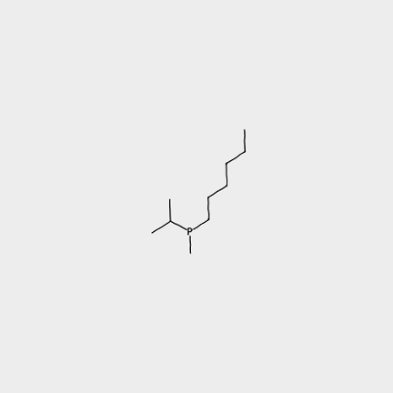 CCCCCCP(C)C(C)C